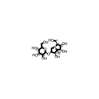 OCC1O[C@@H](O[C@H]2CN3[C@@H]([C@@H](O)[C@H](O)[C@@H]3CO)[C@@H]2O)C(O)[C@@H](O)[C@@H]1O